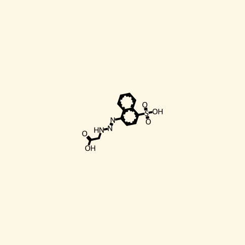 O=C(O)CNN=Nc1ccc(S(=O)(=O)O)c2ccccc12